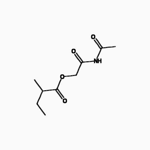 CCC(C)C(=O)OCC(=O)NC(C)=O